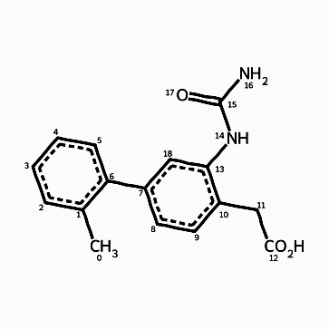 Cc1ccccc1-c1ccc(CC(=O)O)c(NC(N)=O)c1